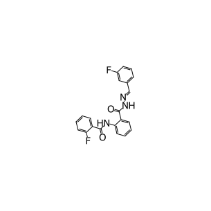 O=C(Nc1ccccc1C(=O)N/N=C/c1cccc(F)c1)c1ccccc1F